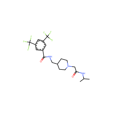 CC(C)NC(=O)CN1CCC(CNC(=O)c2cc(C(F)(F)F)cc(C(F)(F)F)c2)CC1